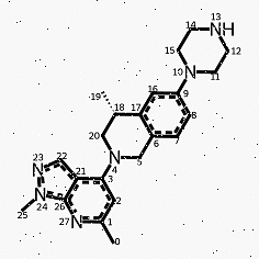 Cc1cc(N2Cc3ccc(N4CCNCC4)cc3[C@@H](C)C2)c2cnn(C)c2n1